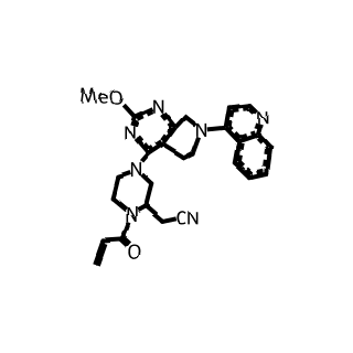 C=CC(=O)N1CCN(c2nc(OC)nc3c2CCN(c2ccnc4ccccc24)C3)CC1CC#N